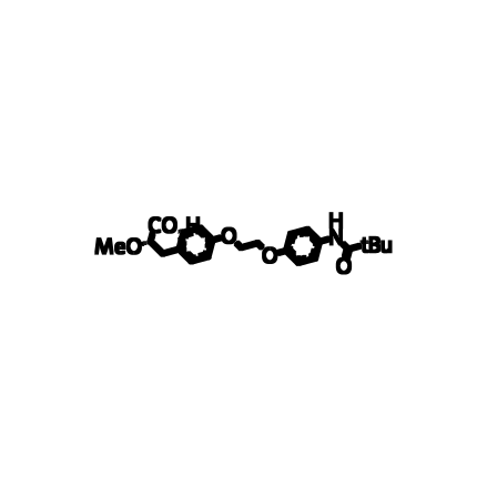 CO[C@@H](Cc1ccc(OCCOc2ccc(NC(=O)C(C)(C)C)cc2)cc1)C(=O)O